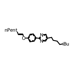 CCCCCC=COc1ccc(-c2ncc(CCCCC(C)CC)cn2)cc1